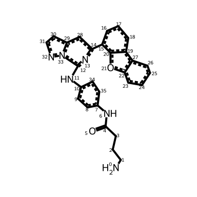 NCCCC(=O)Nc1ccc(Nc2nc(-c3cccc4c3oc3ccccc34)cc3ccnn23)cc1